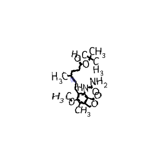 COc1c(C)c2c(c(NC(N)=O)c1C/C=C(\C)CCC(=O)OC(C)(C)C)C(=O)OC2